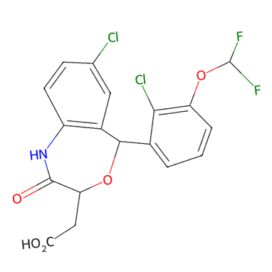 O=C(O)CC1OC(c2cccc(OC(F)F)c2Cl)c2cc(Cl)ccc2NC1=O